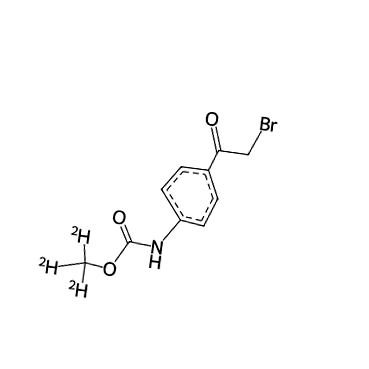 [2H]C([2H])([2H])OC(=O)Nc1ccc(C(=O)CBr)cc1